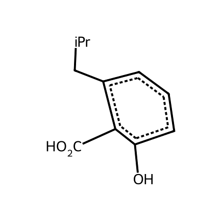 CC(C)Cc1cccc(O)c1C(=O)O